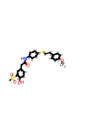 CS(=O)(=O)c1cc(CC(=O)Nc2ccc(SCCc3ccc(OC(F)(F)F)cc3)cc2)ccc1O